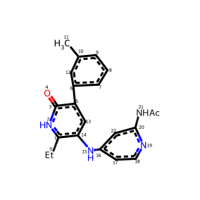 CCc1[nH]c(=O)c(-c2cccc(C)c2)cc1Nc1ccnc(NC(C)=O)c1